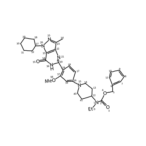 CCN(C(=O)OCc1ccccc1)C1CCN(c2ccc(-c3nc4c(C)nn(C5CCCCC5)c4c(=O)[nH]3)c(OC)c2)CC1